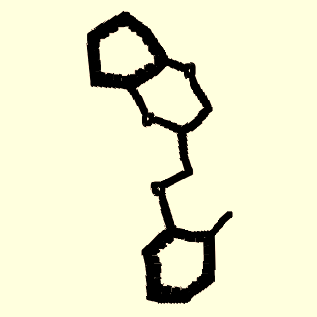 Cc1ccccc1OCC1COc2ccccc2O1